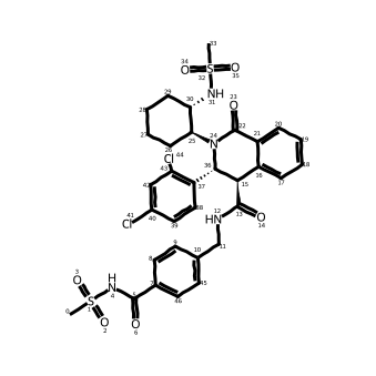 CS(=O)(=O)NC(=O)c1ccc(CNC(=O)[C@@H]2c3ccccc3C(=O)N([C@H]3CCCC[C@@H]3NS(C)(=O)=O)[C@H]2c2ccc(Cl)cc2Cl)cc1